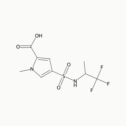 CC(NS(=O)(=O)c1cc(C(=O)O)n(C)c1)C(F)(F)F